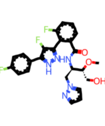 CO[C@H](CO)[C@@H](Cn1cccn1)NC(=O)c1cccc(F)c1-c1n[nH]c(-c2ccc(F)cc2)c1F